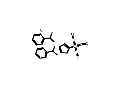 CC(C)c1ccccc1.CC(C)c1ccccc1.O=[C]=[Cr](=[C]=O)(=[C]=O)[C]1=CC=CC1.[Cr]